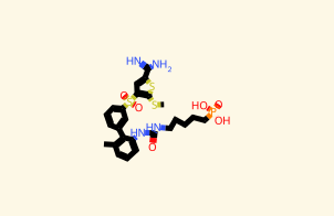 CSc1sc(C(=N)N)cc1S(=O)(=O)c1cccc(-c2c(C)cccc2NC(=O)NCCCCCP(=O)(O)O)c1